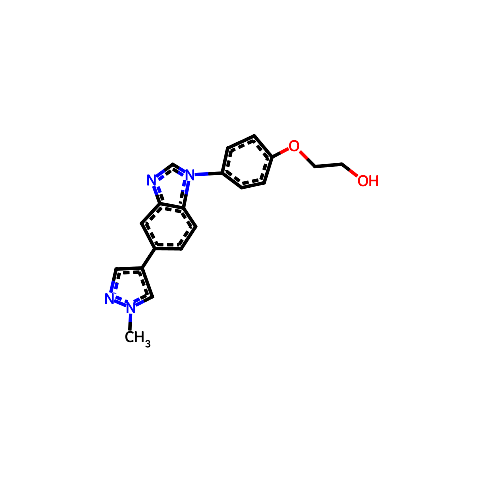 Cn1cc(-c2ccc3c(c2)ncn3-c2ccc(OCCO)cc2)cn1